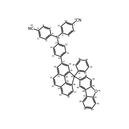 N#Cc1ccc(N(c2ccc(C#N)cc2)c2ccc(-c3cc4c5c(ccc6cccc(c65)C4(c4ccccc4)c4ccc5oc6ccccc6c5c4)c3)cc2)cc1